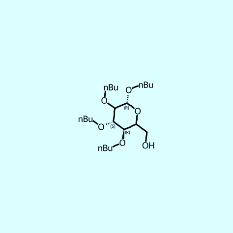 CCCCOC1[C@H](OCCCC)OC(CO)[C@@H](OCCCC)[C@@H]1OCCCC